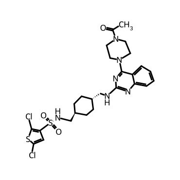 CC(=O)N1CCN(c2nc(NC[C@H]3CC[C@H](CNS(=O)(=O)c4cc(Cl)sc4Cl)CC3)nc3ccccc23)CC1